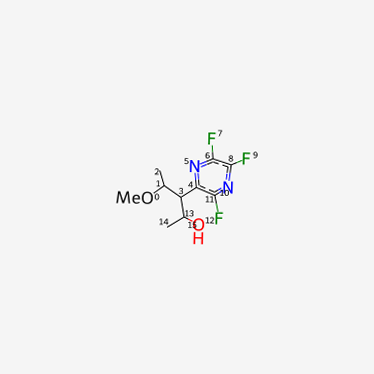 COC(C)C(c1nc(F)c(F)nc1F)C(C)O